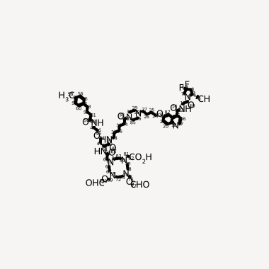 C#C[C@H]1CC(F)(F)CN1C(=O)CNC(=O)c1ccnc2ccc(OCCCCN3CCN(C(=O)CCCCCNC(=O)[C@H](CCOCCNC(=O)CCCc4ccc(C)cc4)NC(=O)CN4CCN(COC=O)CCN(COC=O)CCN(CC(=O)O)CC4)CC3)cc12